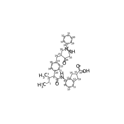 CCC(C)C(C(=O)Nc1cccc2c1CC(C(=O)O)C2)c1ccc(CC2CN(c3ccccc3)NCC2=O)cc1